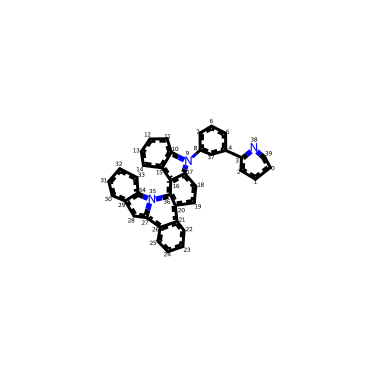 c1ccc(-c2cccc(-n3c4ccccc4c4c3ccc3c5ccccc5c5cc6ccccc6n5c34)c2)nc1